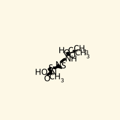 CC(C)(C)OC(=O)NCc1nc(C2=N[C@@](C)(C(=O)O)CS2)cs1